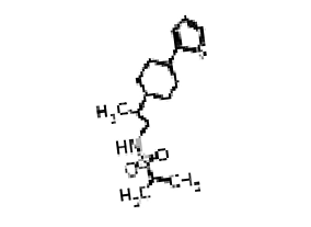 CC(CNS(=O)(=O)C(C)C)C1CCC(c2cccs2)CC1